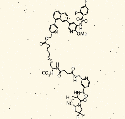 COc1ncc(-c2ccc3cccc(-c4ccc(COC(=O)OCCSSCC(NC(=O)CCC(=O)NCc5cc(C(=O)NC(C)C(=O)N6CC(F)(F)CC6C#N)ccn5)C(=O)O)nc4)c3c2)cc1NS(=O)(=O)c1ccc(F)cc1F